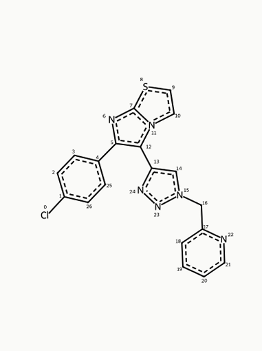 Clc1ccc(-c2nc3sccn3c2-c2cn(Cc3ccccn3)nn2)cc1